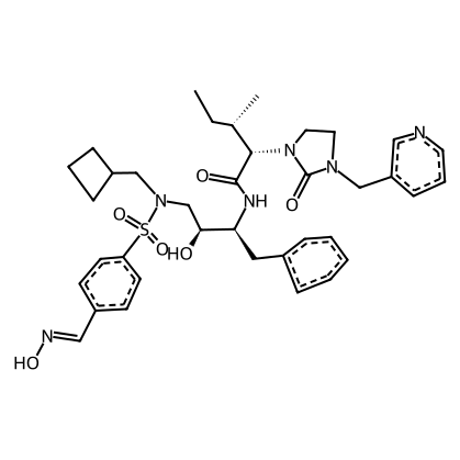 CC[C@H](C)[C@@H](C(=O)N[C@@H](Cc1ccccc1)[C@@H](O)CN(CC1CCC1)S(=O)(=O)c1ccc(C=NO)cc1)N1CCN(Cc2cccnc2)C1=O